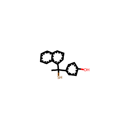 CC(S)(c1ccc(O)cc1)c1cccc2ccccc12